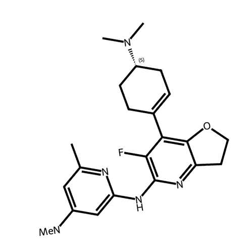 CNc1cc(C)nc(Nc2nc3c(c(C4=CC[C@@H](N(C)C)CC4)c2F)OCC3)c1